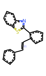 C(=C\c1ccccc1-c1nc2ccccc2s1)/c1ccccc1